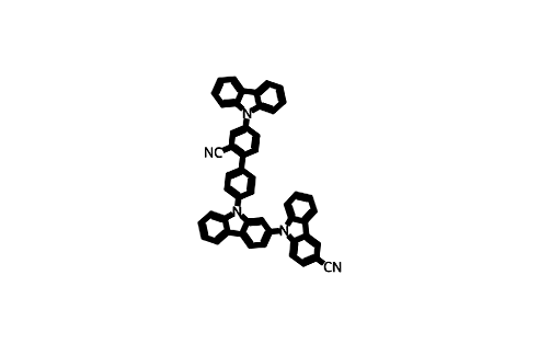 N#Cc1ccc2c(c1)c1ccccc1n2-c1ccc2c3ccccc3n(-c3ccc(-c4ccc(-n5c6ccccc6c6ccccc65)cc4C#N)cc3)c2c1